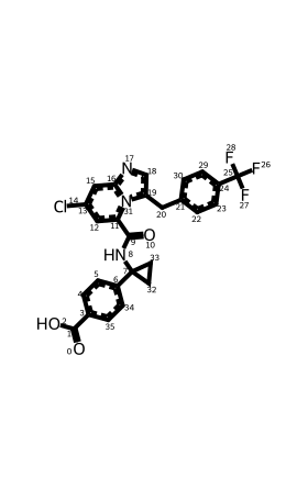 O=C(O)c1ccc(C2(NC(=O)c3cc(Cl)cc4ncc(Cc5ccc(C(F)(F)F)cc5)n34)CC2)cc1